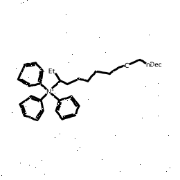 CCCCCCCCCCCCCCCCCCC(CC)[N+](c1ccccc1)(c1ccccc1)c1ccccc1